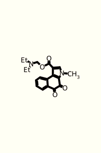 CCN(CC)COC(=O)c1cn(C)c2c1-c1ccccc1C(=O)C2=O